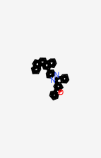 c1ccc(-c2nc3cc(-c4cc5c(ccc6ccc7ccccc7c65)c5ccccc45)ccc3nc2-c2ccc3oc4ccccc4c3c2)cc1